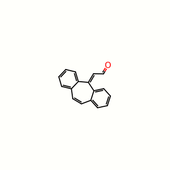 O=CC=C1c2ccccc2C=Cc2ccccc21